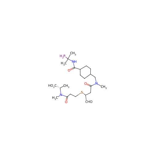 C[C@@H](C(=O)O)N(C)C(=O)CCSC(C=O)CC(=O)N(C)CC1CCC(C(=O)NC(C)(C)P)CC1